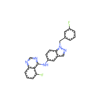 Fc1cccc(Cn2ncc3cc(Nc4ncnc5cccc(F)c45)ccc32)c1